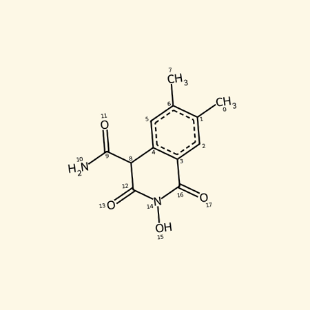 Cc1cc2c(cc1C)C(C(N)=O)C(=O)N(O)C2=O